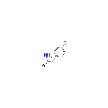 CC(C)[C@@H](N)Cc1ccc(Cl)cc1